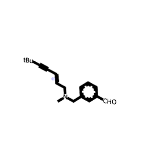 CN(C/C=C/C#CC(C)(C)C)Cc1cccc(C=O)c1